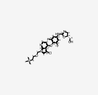 C[Si](C)(C)CCOCn1cc(Cl)c2c(Oc3c(F)cc(NC4=NC[C@H](CO)O4)cc3F)ccnc21